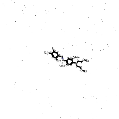 CCOCCN(CCOCC)c1cc(NC(C)=O)c(/N=N/c2cc(F)c([N+](=O)[O-])cc2[N+](=O)[O-])cc1OC